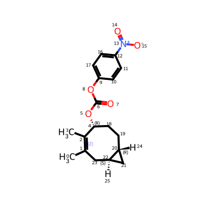 C/C1=C(\C)[C@H](OC(=O)Oc2ccc([N+](=O)[O-])cc2)CC[C@@H]2C[C@H]2C1